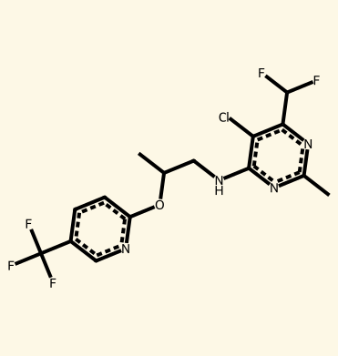 Cc1nc(NCC(C)Oc2ccc(C(F)(F)F)cn2)c(Cl)c(C(F)F)n1